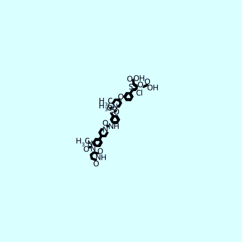 Cn1c(=O)n(C2CCC(=O)NC2=O)c2ccc(C3CCN(C(=O)Nc4cccc(CS(=O)(=O)N5CC[C@@H](Oc6cccc(-c7sc(C(=O)O)c(OCC(=O)O)c7Cl)c6)CC5(C)C)c4)CC3)cc21